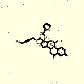 C[C@@H]1CC2C3C[C@H](F)C4=CC(=O)C=C[C@]4(C)[C@@]3(F)C(O)C[C@]2(C)[C@@]1(OC(=O)c1ccco1)C(=O)SCC#CCO